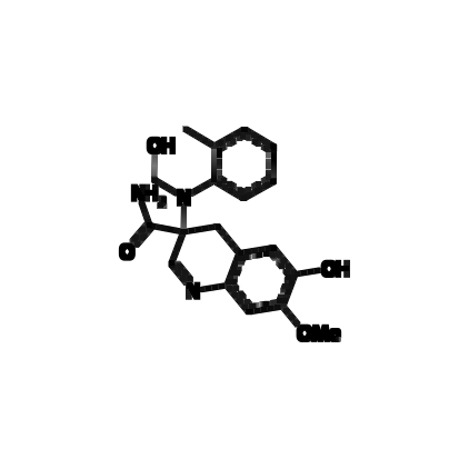 COc1cc2c(cc1O)CC(C(N)=O)(N(CO)c1ccccc1C)C=N2